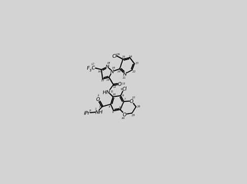 CC(C)NC(=O)c1cc2c(c(Cl)c1NC(=O)c1cc(C(F)(F)F)nn1-c1ncccc1Cl)OCCO2